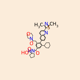 Cc1nc(C)c(-c2ccc3cc(-c4c(CC(=O)N5CCOCC5)cc(C(=O)NC5(C(=O)O)CCCC5)cc4C4CCCCC4)ccc3n2)s1